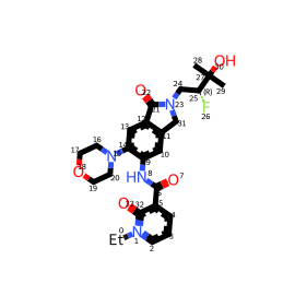 CCn1cccc(C(=O)Nc2cc3c(cc2N2CCOCC2)C(=O)N(C[C@@H](F)C(C)(C)O)C3)c1=O